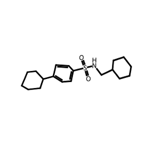 O=S(=O)(NCC1CCCCC1)c1ccc(C2CCCCC2)cc1